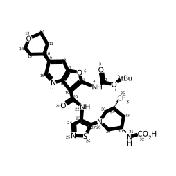 CC(C)(C)OC(=O)Nc1oc2cc(C3CCOCC3)cnc2c1C(=O)Nc1cnsc1N1C[C@@H](NC(=O)O)C[C@@H](C(F)(F)F)C1